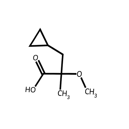 COC(C)(CC1CC1)C(=O)O